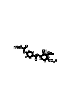 CCCCCCCCCC(=O)Oc1ccc(C(=O)Oc2ccc(C(=O)O)c(CCCC)c2C)cc1